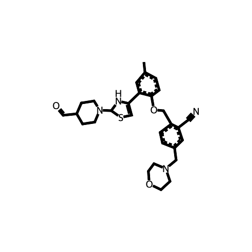 Cc1ccc(OCc2ccc(CN3CCOCC3)cc2C#N)c(C2=CSC(N3CCC(C=O)CC3)N2)c1